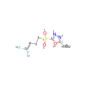 CCCCc1nnc(S(=O)(=O)CCC=C(F)F)o1